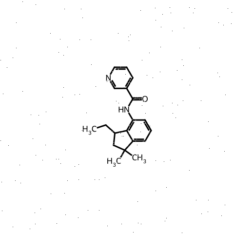 CCC1CC(C)(C)c2cccc(NC(=O)c3cccnc3)c21